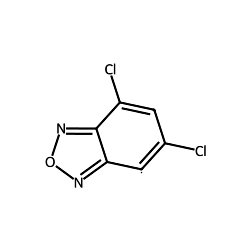 Clc1[c]c2nonc2c(Cl)c1